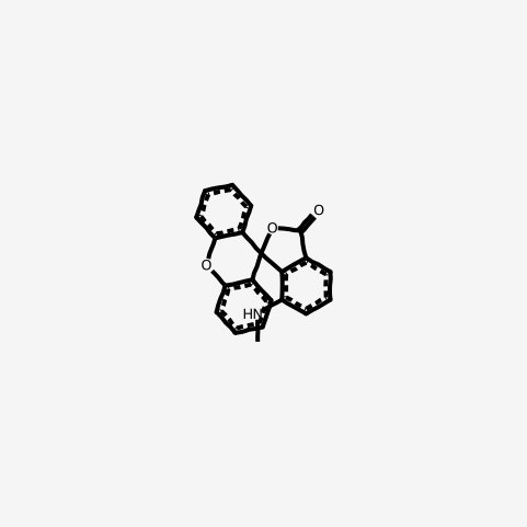 CNc1cccc2c1C1(OC2=O)c2ccccc2Oc2ccccc21